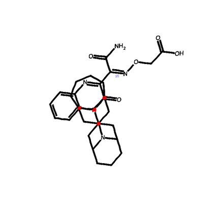 NC(=O)/C(=N\OCC(=O)O)c1nc2ccccc2n(C2CC3CCCC(C2)N3C2CC3CCCCC(C3)C2)c1=O